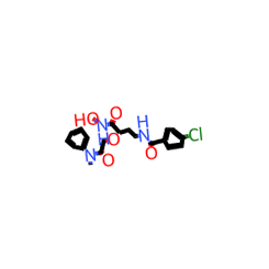 CN(C(=O)COC(CCNC(=O)c1ccc(Cl)cc1)C(=O)NO)c1ccccc1